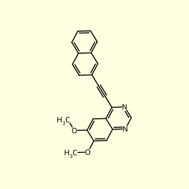 COc1cc2ncnc(C#Cc3ccc4ccccc4c3)c2cc1OC